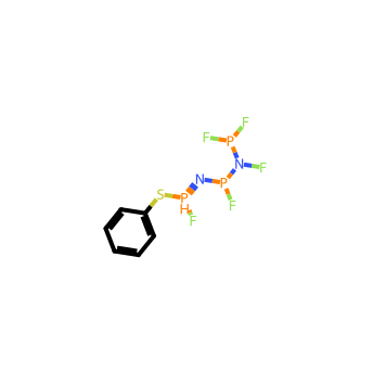 FN(P(F)F)P(F)/N=[PH](\F)Sc1ccccc1